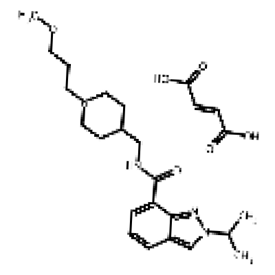 COCCCN1CCC(CNC(=O)c2cccc3cn(C(C)C)nc23)CC1.O=C(O)C=CC(=O)O